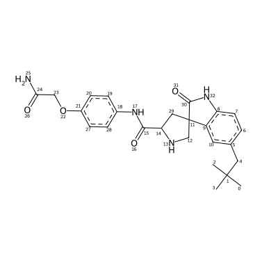 CC(C)(C)Cc1ccc2c(c1)C1(CNC(C(=O)Nc3ccc(OCC(N)=O)cc3)C1)C(=O)N2